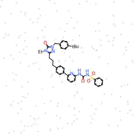 CCn1c(CCCc2ccc(-c3cccc(NC(=O)NS(=O)(=O)c4ccccc4)n3)cc2)nn(Cc2ccc(C(C)(C)C)cc2)c1=O